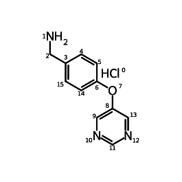 Cl.NCc1ccc(Oc2cncnc2)cc1